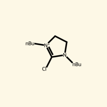 CCCCN1CC[N+](CCCC)=C1Cl